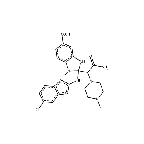 CN1CCN(C(C(N)=O)C2(Nc3nc4ccc(Cl)cc4s3)Nc3cc(C(=O)O)ccc3N2C)CC1